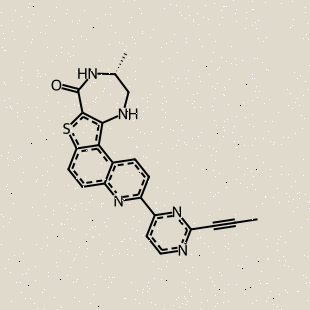 CC#Cc1nccc(-c2ccc3c(ccc4sc5c(c43)NC[C@@H](C)NC5=O)n2)n1